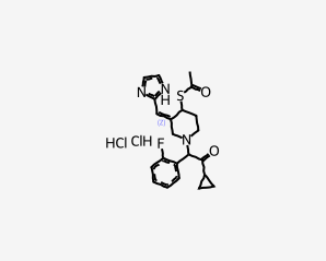 CC(=O)SC1CCN(C(C(=O)C2CC2)c2ccccc2F)C/C1=C/c1ncc[nH]1.Cl.Cl